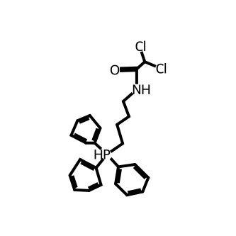 O=C(NCCCC[PH](c1ccccc1)(c1ccccc1)c1ccccc1)C(Cl)Cl